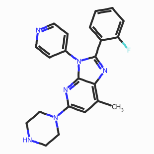 Cc1cc(N2CCNCC2)nc2c1nc(-c1ccccc1F)n2-c1ccncc1